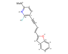 CNc1ccc(C#CC=Cc2cc3ccccc3o2)c(F)n1